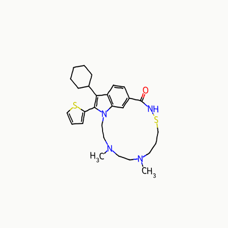 CN1CCCSNC(=O)c2ccc3c(C4CCCCC4)c(-c4cccs4)n(c3c2)CCN(C)CC1